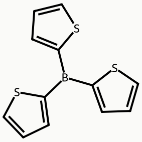 c1csc(B(c2cccs2)c2cccs2)c1